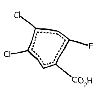 O=C(O)c1cc(Cl)c(Cl)cc1F